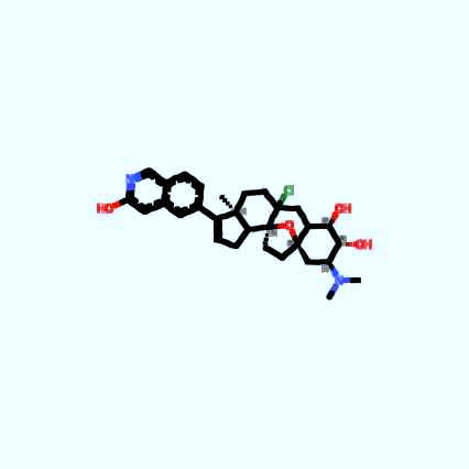 CN(C)[C@H]1C[C@@]23CC[C@]4(O2)C2CC=C(c5ccc6cnc(O)cc6c5)[C@@]2(C)CCC4(Cl)CC3[C@@H](O)[C@@H]1O